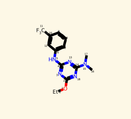 CCOc1nc(Nc2cccc(C(F)(F)F)c2)nc(N(C)C)n1